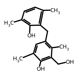 Cc1ccc(C)c(Cc2cc(C)c(O)c(CO)c2C)c1O